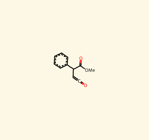 COC(=O)C(C=C=O)c1ccccc1